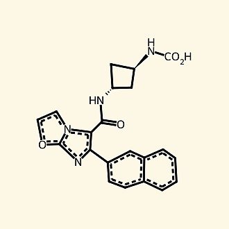 O=C(O)N[C@H]1C[C@H](NC(=O)c2c(-c3ccc4ccccc4c3)nc3occn23)C1